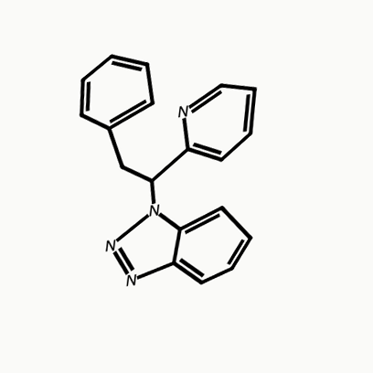 c1ccc(CC(c2ccccn2)n2nnc3ccccc32)cc1